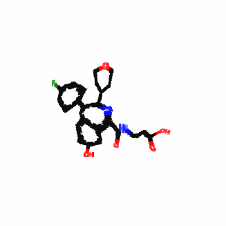 O=C(O)CCNC(=O)c1nc(C2CCOCC2)c(-c2ccc(F)cc2)c2ccc(O)cc12